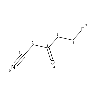 N#CCC(=O)CCF